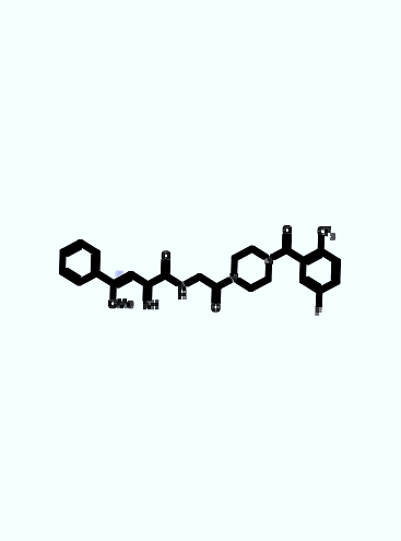 CO/C(=C\C(=N)C(=O)NCC(=O)N1CCN(C(=O)c2cc(F)ccc2C(F)(F)F)CC1)c1ccccc1